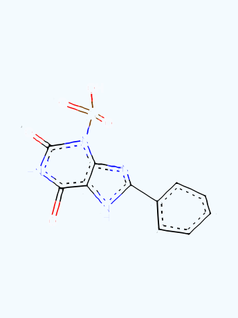 O=c1[nH]c(=O)n(S(=O)(=O)O)c2nc(-c3ccccc3)[nH]c12